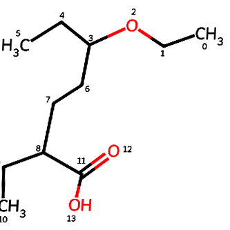 CCOC(CC)CCC(CC)C(=O)O